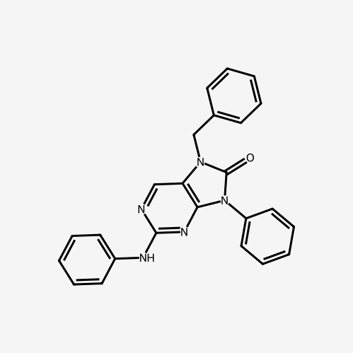 O=c1n(Cc2ccccc2)c2cnc(Nc3ccccc3)nc2n1-c1ccccc1